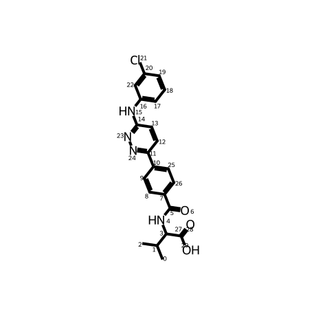 CC(C)C(NC(=O)c1ccc(-c2ccc(Nc3cccc(Cl)c3)nn2)cc1)C(=O)O